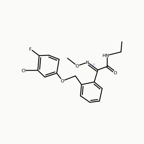 CCNC(=O)/C(=N/OC)c1ccccc1COc1ccc(F)c(Cl)c1